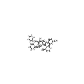 CC[C@H]1CN(c2cc(C#N)cnc2-c2nnc(N[C@H]3N=C(c4ccccc4)c4ccccc4NC3=O)o2)CCO1